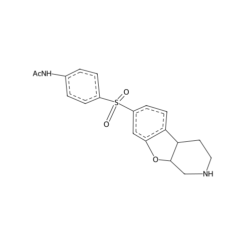 CC(=O)Nc1ccc(S(=O)(=O)c2ccc3c(c2)OC2CNCCC32)cc1